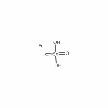 O=[Se](=O)(O)O.[Fe]